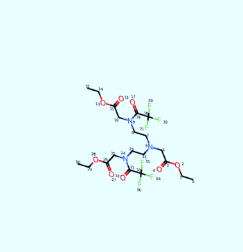 CCOC(=O)CN(CCN(CC(=O)OCC)C(=O)C(F)(F)F)CCN(CC(=O)OCC)C(=O)C(F)(F)F